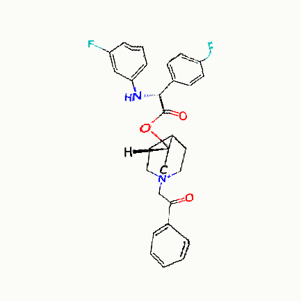 O=C(C[N+]12CCC(CC1)[C@@H](OC(=O)[C@H](Nc1cccc(F)c1)c1ccc(F)cc1)C2)c1ccccc1